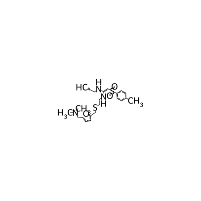 C#CCNC(=CS(=O)(=O)c1ccc(C)cc1)NCCSCc1ccc(CN(C)C)o1